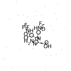 C=C(F)C(=O)Nc1ccc(-c2c(-c3ccc(C(=O)NCC(F)(F)F)c(Cl)c3)c3c(N)ncc(C#CC(=O)O)c3n2C)cc1